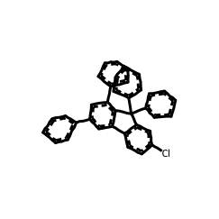 Clc1ccc2c(c1)C(c1ccccc1)(c1ccccc1)c1c(-c3ccccc3)cc(-c3ccccc3)cc1-2